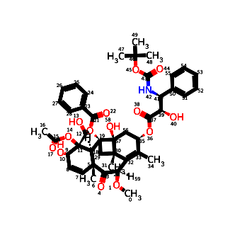 CO[C@H]1C(=O)[C@]2(C)C=C[C@@H](O)[C@](CO)(OC(C)=O)[C@H]2[C@]2(OC(=O)c3ccccc3)C[C@@]3(C)C1=C(C)[C@@H](OC(=O)[C@H](O)[C@@H](NC(=O)OC(C)(C)C)c1ccccc1)C[C@]32O